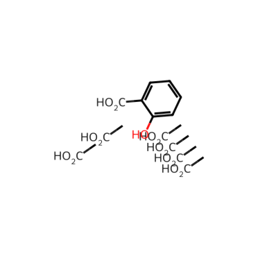 CC(=O)O.CC(=O)O.CC(=O)O.CC(=O)O.CC(=O)O.CC(=O)O.O=C(O)c1ccccc1O